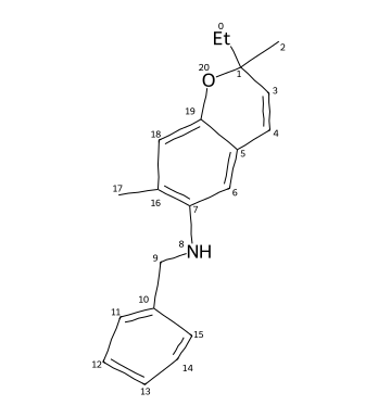 CCC1(C)C=Cc2cc(NCc3ccccc3)c(C)cc2O1